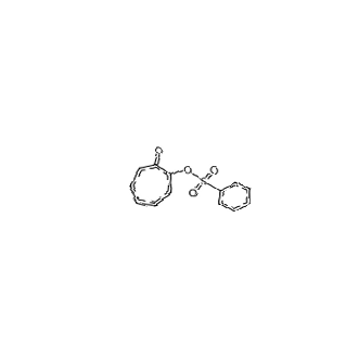 O=c1cccccc1OS(=O)(=O)c1ccccc1